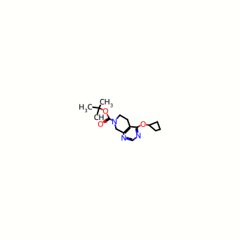 CC(C)(C)OC(=O)N1CCc2c(ncnc2OC2CCC2)C1